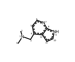 CN(C)Cc1ccnc2[nH]ccc12